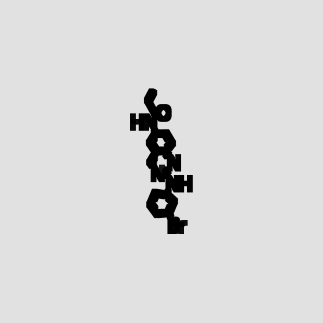 C=CC(=O)Nc1ccc2nc(Nc3cccc(Br)c3)ncc2c1